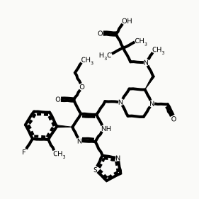 CCOC(=O)C1=C(CN2CCN(C=O)[C@H](CN(C)CC(C)(C)C(=O)O)C2)NC(c2nccs2)=N[C@H]1c1cccc(F)c1C